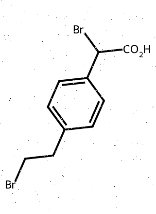 O=C(O)C(Br)c1ccc(CCBr)cc1